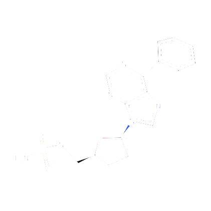 NS(=O)(=O)NC[C@@H]1CC[C@H](n2cnc3c(-c4ccccc4)ncnc32)O1